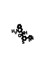 Cn1nccc1C1=CC(C(=O)NC(CN)Cc2ccccc2)=CC(=S)C1